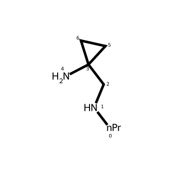 CCCNCC1(N)CC1